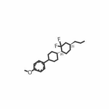 CCC[C@H]1CC[C@H](C2CCC(c3ccc(OC)cc3)CC2)C(F)(F)C1